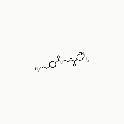 CCCc1ccc(C(=O)OCCOC(=O)N(CC)CC)cc1